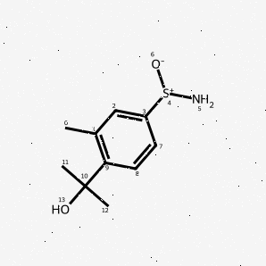 Cc1cc([S+](N)[O-])ccc1C(C)(C)O